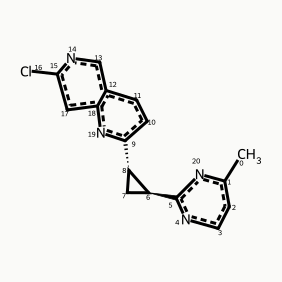 Cc1ccnc([C@H]2C[C@@H]2c2ccc3cnc(Cl)cc3n2)n1